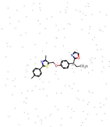 Cc1ccc(-c2nc(C)c(COc3ccc([C@H](CC(=O)O)c4ncco4)cc3)s2)cc1